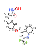 O=C(NO)[C@H]1C[C@H]1Cc1ccc(OCc2cc(C(F)(F)F)nc3ccccc23)cc1